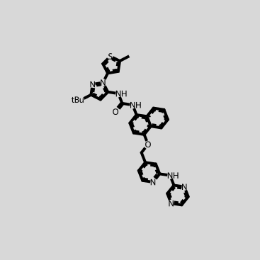 Cc1cc(-n2nc(C(C)(C)C)cc2NC(=O)Nc2ccc(OCc3ccnc(Nc4cnccn4)c3)c3ccccc23)cs1